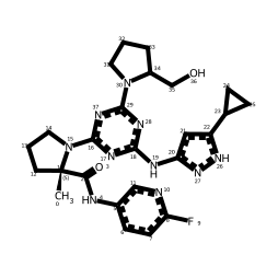 C[C@@]1(C(=O)Nc2ccc(F)nc2)CCCN1c1nc(Nc2cc(C3CC3)[nH]n2)nc(N2CCCC2CO)n1